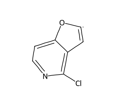 Clc1nccc2o[c]cc12